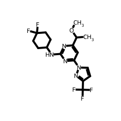 COC(C)c1cc(-n2ccc(C(F)(F)F)n2)nc(NC2CCC(F)(F)CC2)n1